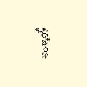 N/C(=N\O)c1cnc(Nc2nc(-c3ccc(OC(F)(F)F)cc3)no2)cn1